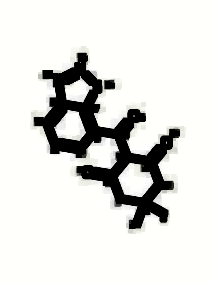 CC1(C)CC(=O)C(C(=O)c2cccc3nnsc23)C(=O)C1